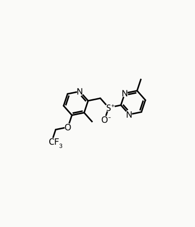 Cc1ccnc([S+]([O-])Cc2nccc(OCC(F)(F)F)c2C)n1